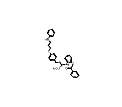 O=C(Oc1ccccc1NC(CCc1ccc(OCCCNc2ccccc2)cc1)C(=O)O)c1ccccc1